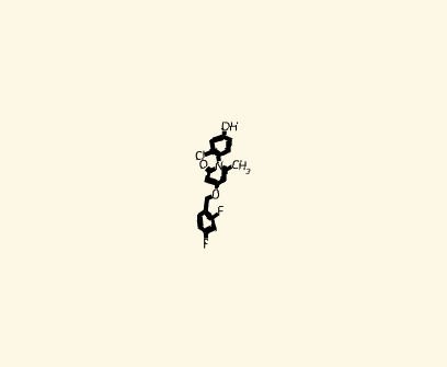 Cc1cc(OCc2ccc(F)cc2F)cc(=O)n1-c1ccc(O)cc1Cl